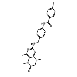 Cc1nc(NCc2ccc(NC(=O)c3ccc(F)cc3)cc2)nc2c1N(C)C(=O)CN2C